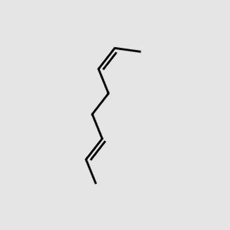 CC=CCC/C=C\C